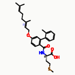 CSCC[C@H](NC(=O)c1ccc(OC/C=C(\C)CCC=C(C)C)cc1-c1ccccc1C)C(=O)O